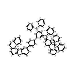 c1ccc(N(c2ccccc2)c2cc(-c3ccc(-c4ccc5oc6ccc7ccc8ccccc8c7c6c5c4)cc3)cc(N(c3ccccc3)c3ccc4c(c3)C3(c5ccccc5-c5ccccc53)c3ccccc3-4)c2)cc1